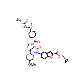 CO[C@H]1CC[C@H]([C@@H]2CCN(C(=O)[C@H]3CC[C@H]([C@@H](CF)NC(=O)OC(C)(C)C)CC3)[C@@H]2C(=O)Nc2ccc3oc(C(=O)OCC4CC4)cc3c2)CC1